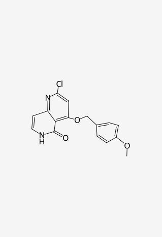 COc1ccc(COc2cc(Cl)nc3cc[nH]c(=O)c23)cc1